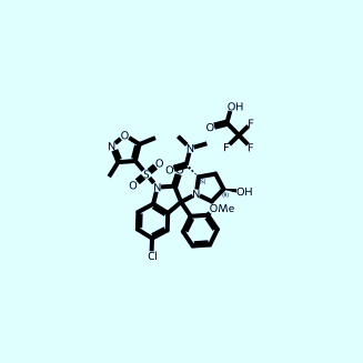 COc1ccccc1C1(N2C[C@H](O)C[C@H]2C(=O)N(C)C)C(=O)N(S(=O)(=O)c2c(C)noc2C)c2ccc(Cl)cc21.O=C(O)C(F)(F)F